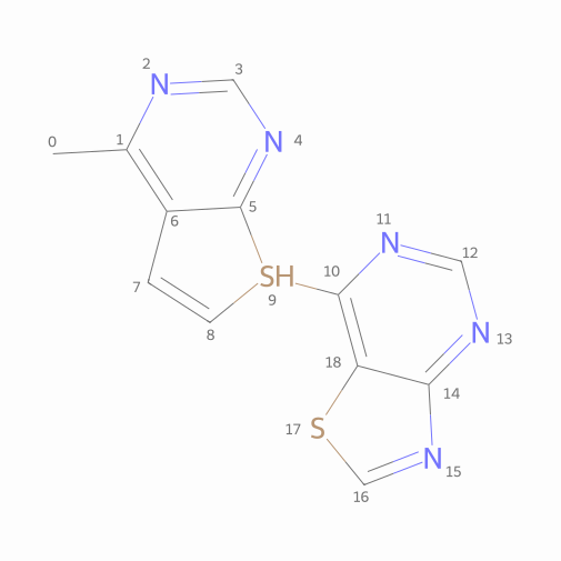 Cc1ncnc2c1C=C[SH]2c1ncnc2ncsc12